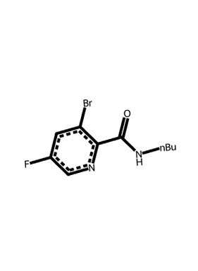 CCCCNC(=O)c1ncc(F)cc1Br